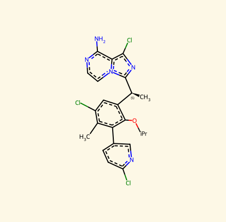 Cc1c(Cl)cc([C@H](C)c2nc(Cl)c3c(N)nccn23)c(OC(C)C)c1-c1ccc(Cl)nc1